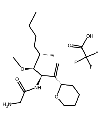 C=C([C@@H]1CCCCO1)[C@@H](NC(=O)CN)[C@@H](OC)[C@@H](C)CCCC.O=C(O)C(F)(F)F